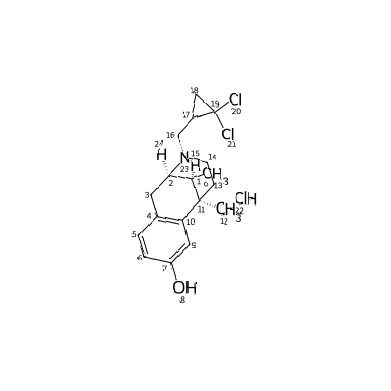 C[C@@H]1[C@H]2Cc3ccc(O)cc3[C@]1(C)CCN2CC1CC1(Cl)Cl.Cl